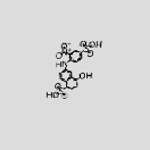 O=[N+]([O-])c1cc(S(=O)(=O)O)ccc1Nc1ccc2c(S(=O)(=O)O)ccc(O)c2c1